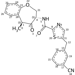 C[C@@H]1C(=O)[C@@H](NC(=O)c2ncc(Cc3cccc(C#N)c3)s2)COc2ccccc21